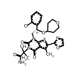 Cc1c(-c2ncco2)sc2c1c(=O)n(C(C)(C)C(N)=O)c(=O)n2C[C@@H](OC1CCOCC1)c1ccccc1Cl